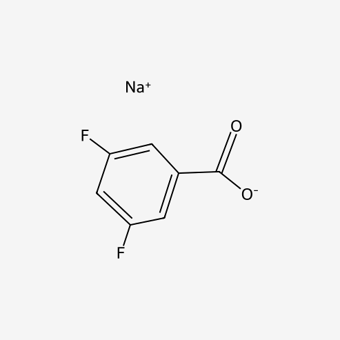 O=C([O-])c1cc(F)cc(F)c1.[Na+]